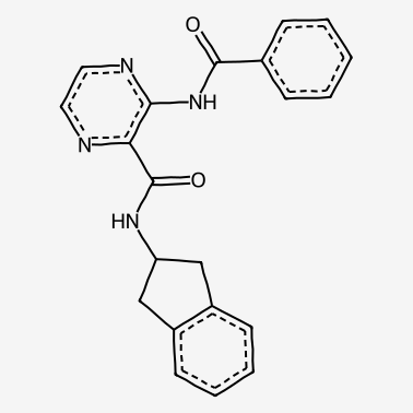 O=C(Nc1nccnc1C(=O)NC1Cc2ccccc2C1)c1ccccc1